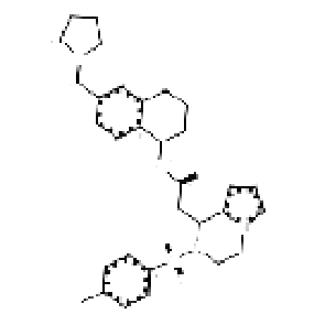 Cc1ccc(S(=O)(=O)N2CCn3cccc3C2CC(=O)NC2CCCc3cc(CN4CCCC4)ccc32)cc1